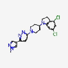 Cn1cc(-c2ccc(N3CCC(N4CCc5c(Cl)cc(Cl)cc54)CC3)nn2)cn1